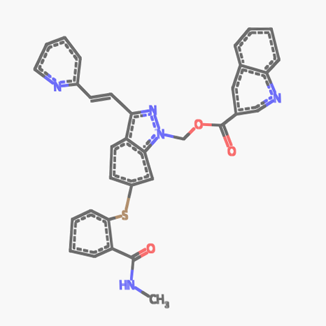 CNC(=O)c1ccccc1Sc1ccc2c(/C=C/c3ccccn3)nn(COC(=O)c3cnc4ccccc4c3)c2c1